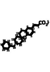 O=C(O)C=Cc1ccc2c(c1)CCC1(CCN(Cc3ccccc3)CC1)O2